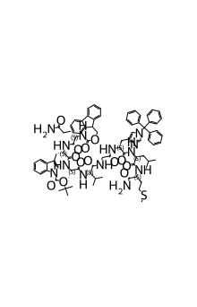 CSCC[C@H](NC(=O)[C@H](CC(C)C)NC(=O)[C@H](Cc1cn(C(c2ccccc2)(c2ccccc2)c2ccccc2)cn1)NC(=O)CNC(=O)[C@@H](NC(=O)[C@H](C)NC(=O)[C@H](Cc1cn(C(=O)OC(C)(C)C)c2ccccc12)NC(=O)[C@H](CCC(N)=O)NC(=O)OCC1c2ccccc2-c2ccccc21)C(C)C)C(N)=O